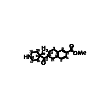 COC(=O)c1ccc2c(c1)CCN(C(=O)C1(C)CCNCC1)C2